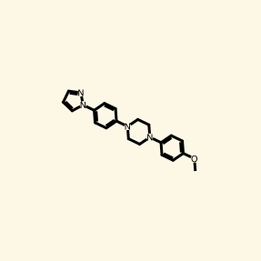 COc1ccc(N2CCN(c3ccc(-n4cccn4)cc3)CC2)cc1